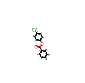 O=C(Oc1ccc(Cl)cc1)c1cc[c]cc1